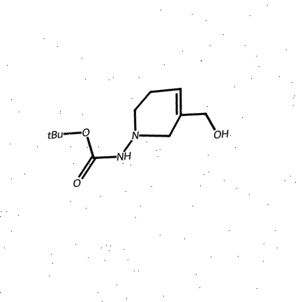 CC(C)(C)OC(=O)NN1CCC=C(CO)C1